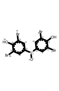 [O-][S+](c1cc(Br)c(O)c(Br)c1)c1cc(Br)c(O)c(Br)c1